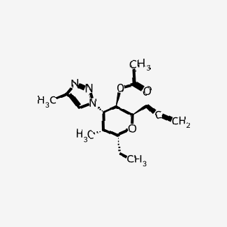 C=C=C[C@H]1O[C@H](CC)[C@H](C)[C@H](n2cc(C)nn2)[C@H]1OC(C)=O